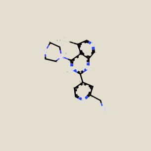 COc1cncc2nc(-c3ccnc(CN)c3)nc(N3CCNCC3)c12